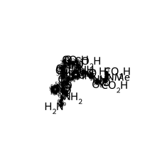 CN[C@@H](CC(=O)O)C(=O)N[C@@H](CC(=O)O)C(=O)NCC(=O)NCC(=O)NCC(=O)N[C@@H](CC(=O)O)C(=O)N[C@@H](CC(=O)O)C(=O)N[C@@H](CC(=O)O)C(=O)N[C@@H](Cc1ccccc1)C(=O)N[C@@H](Cc1ccccc1)C(=O)N[C@@H](CCCCN)C(N)=O